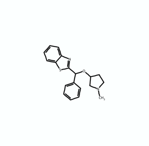 CN1CCC(OC(c2ccccc2)c2nc3ccccc3s2)C1